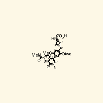 CNC(=O)N1CCc2c(-c3cc(OC)c(CN4CC(NC(=O)O)C4)cc3OC)cn(C)c(=O)c2C1